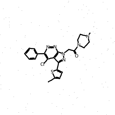 Cc1ccc(-c2nn(CC(=O)N3CCN(C)CC3)c3nnc(-c4ccccc4)c(Cl)c23)s1